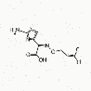 Nc1nc(C(=NOCC=C(Cl)Cl)C(=O)O)cs1